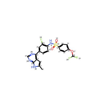 Cc1cc2c(-c3ccc(NS(=O)(=O)c4ccc(OC(F)F)cc4)c(F)c3)ncnc2[nH]1